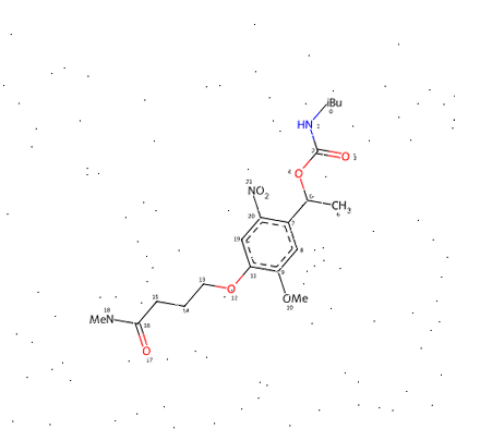 CCC(C)NC(=O)OC(C)c1cc(OC)c(OCCCC(=O)NC)cc1[N+](=O)[O-]